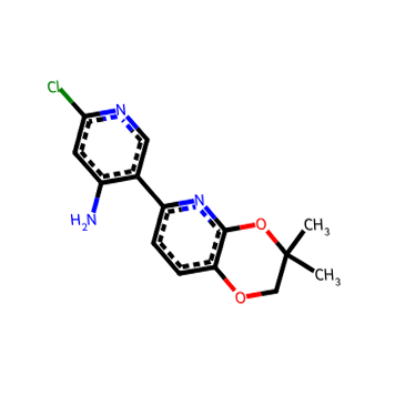 CC1(C)COc2ccc(-c3cnc(Cl)cc3N)nc2O1